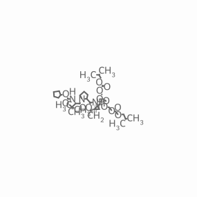 C=C[C@@H]1C[C@]1(NC(=O)C1CCCN1C(=O)C(NC(=O)OC1CCCC1)C(C)(C)C)P(=O)(OCOC(=O)OCC(C)C)OCOC(=O)OCC(C)C